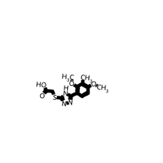 COc1ccc(-c2nnc(SCC(=O)O)[nH]2)c(OC)c1C